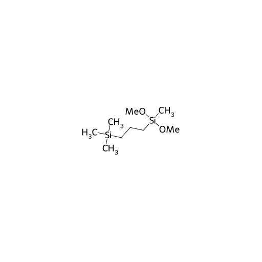 CO[Si](C)(CCC[Si](C)(C)C)OC